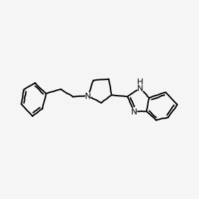 c1ccc(CCN2CCC(c3nc4ccccc4[nH]3)C2)cc1